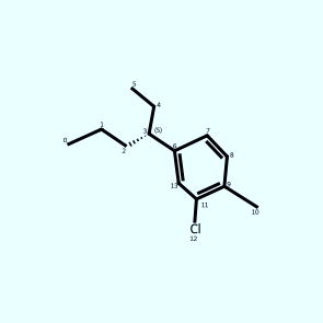 CCC[C@H](CC)c1ccc(C)c(Cl)c1